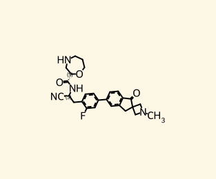 CN1CC2(Cc3cc(-c4ccc(C[C@@H](C#N)NC(=O)[C@@H]5CNCCCO5)c(F)c4)ccc3C2=O)C1